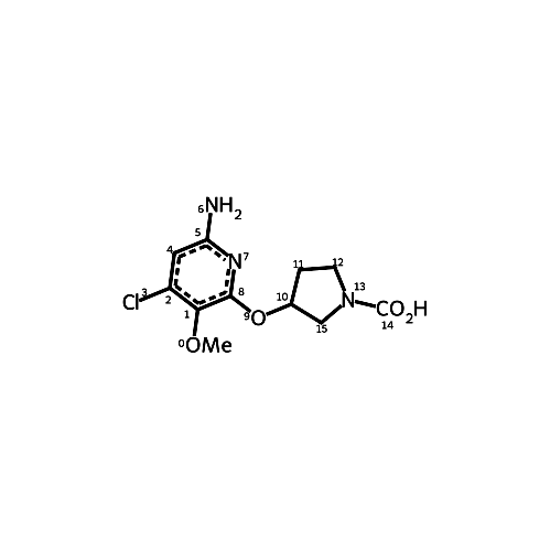 COc1c(Cl)cc(N)nc1OC1CCN(C(=O)O)C1